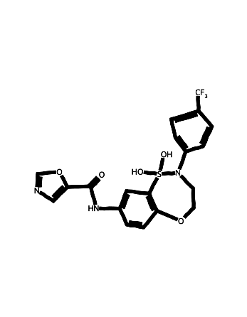 O=C(Nc1ccc2c(c1)S(O)(O)N(c1ccc(C(F)(F)F)cc1)CCO2)c1cnco1